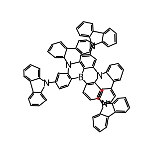 c1ccc(-c2ccccc2N2c3cc(-n4c5ccccc5c5ccccc54)ccc3B3c4ccc(-n5c6ccccc6c6ccccc65)cc4N(c4ccccc4-c4ccccc4)c4cc(-n5c6ccccc6c6ccccc65)cc2c43)cc1